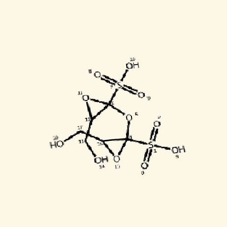 O=S(=O)(O)C1(OC2(S(=O)(=O)O)OC2CO)OC1CO